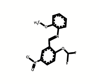 COc1ccccc1/N=C/c1cc([N+](=O)[O-])ccc1OC(F)F